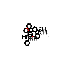 CC1(C)C2=C(C3C(C4=CC(C5=CC=CCC5)NC(C5CCCCC5)N4)=CCCC31)C1C(CC2)C2(CCCCC2)C2C3CCC=CC312